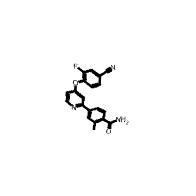 Cc1cc(-c2cc(Oc3ccc(C#N)cc3F)ccn2)ccc1C(N)=O